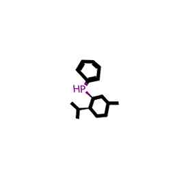 CC1CC[C@@H](C(C)C)[C@@H](Pc2ccccc2)C1